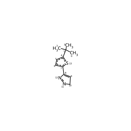 CC(C)(C)c1ccc(C2=CCN=N2)s1